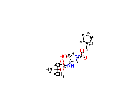 CC(C)(C)OC(=O)NC1CN(C(=O)OCc2ccccc2)C[C@H]1O